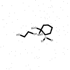 CCOCC.COC1(OC)CCCCC1.OCCO